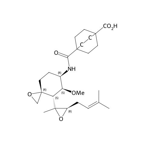 CO[C@H]1[C@H](C2(C)O[C@@H]2CC=C(C)C)[C@]2(CC[C@H]1NC(=O)C13CCC(C(=O)O)(CC1)CC3)CO2